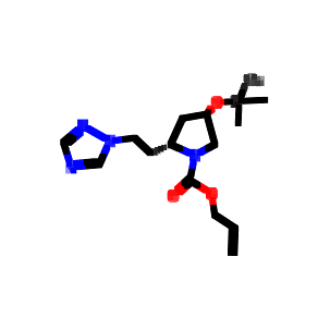 C=CCOC(=O)N1C[C@H](O[Si](C)(C)C(C)(C)C)C[C@H]1CCn1cncn1